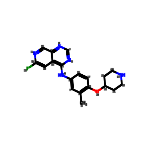 Cc1cc(Nc2ncnc3cnc(F)cc23)ccc1OC1CCNCC1